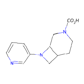 O=C(O)N1CCC2CN(c3cccnc3)C2C1